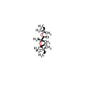 C=C[Si](C)(C)O[C@@H](CC)[Si](C)(C)OC(C)(CC)[Si](C)(C)C=C